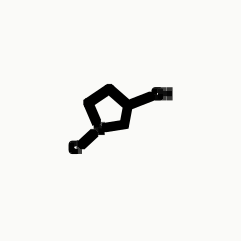 OC1CCN(Cl)C1